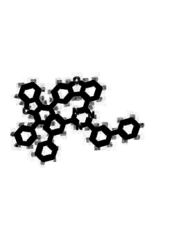 c1ccc(-c2cccc(-c3nc(-c4cccc(-c5ccccc5)c4)nc(-c4cccc5oc6ccc(-c7ccc(-c8ccccc8)c8oc9ccccc9c78)cc6c45)n3)c2)cc1